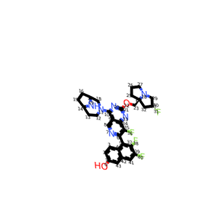 Oc1ccc2c(-c3ncc4c(N5CCC6CCC(C5)N6)nc(OC[C@@]56CCCN5C[C@H](F)C6)nc4c3F)c(F)c(F)cc2c1